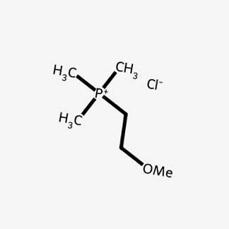 COCC[P+](C)(C)C.[Cl-]